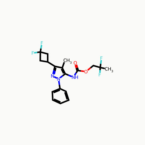 Cc1c(C2CC(F)(F)C2)nn(-c2ccccc2)c1NC(=O)OCC(C)(F)F